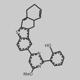 COc1cc(-c2ccc3sc4c(c3c2)CC2C=CCCC2=C4)nc(-c2ccccc2O)n1